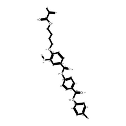 C=C(C)C(=O)OCCCCOc1ccc(C(=O)Oc2ccc(C(=O)Oc3ccc(C)cc3)cc2)cc1OC